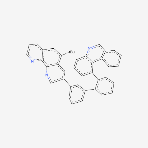 CC(C)(C)c1cc2cccnc2c2ncc(-c3cccc(-c4ccccc4-c4cccc5ncc6ccccc6c45)c3)cc12